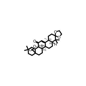 CC1(C)CCC23CC[C@@]4(C)[C@]5(C)CC[C@H]6C(C)(C)C7(CC[C@]6(C)C5=CC(=O)[C@]4(OC2=O)C3C1)OCCO7